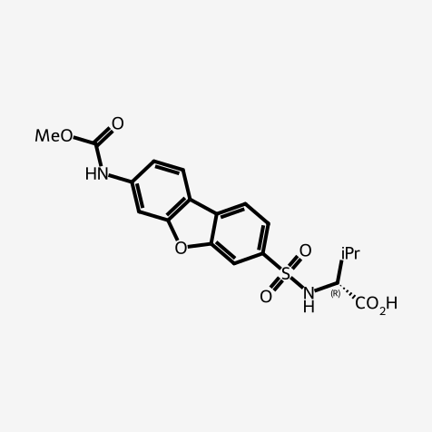 COC(=O)Nc1ccc2c(c1)oc1cc(S(=O)(=O)N[C@@H](C(=O)O)C(C)C)ccc12